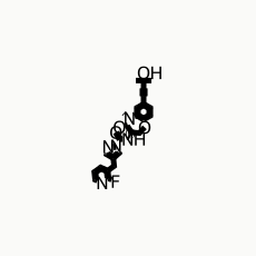 CN1C(=O)[C@H](NC(=O)n2cc(Cc3cccnc3F)cn2)COc2ccc(C#CC(C)(C)O)cc21